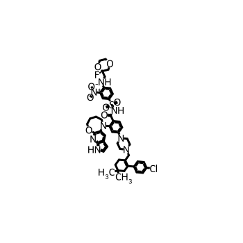 CC1(C)CCC(CN2CCN(c3ccc(C(=O)NS(=O)(=O)c4ccc(NC[C@@]5(F)COCCO5)c([N+](=O)[O-])c4)c(N4CCCCOc5nc6[nH]ccc6cc54)c3)CC2)=C(c2ccc(Cl)cc2)C1